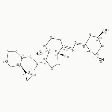 CC(CN1CCOC[C@@H]1C1CC1)[C@H]1CC[C@H]2/C(=C/C=C3C[C@@H](O)C[C@H](O)C3)CCC[C@]12C